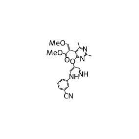 CO/C=C(\C(=O)OC)c1c(C)nc(C)nc1O/C(C=N)=C/Nc1cccc(C#N)c1